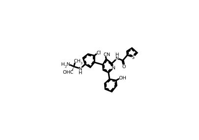 C[C@@](N)(C=O)Nc1ccc(Cl)c(-c2cc(-c3ccccc3O)nc(NC(=O)c3cccs3)c2C#N)c1